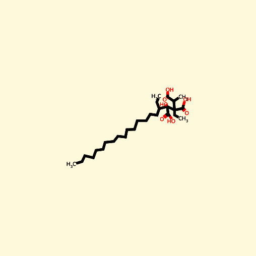 CCCCCCCCCCCCCCCCC(CC)C(O)(C(=O)O)C(CC)(C(=O)O)C(C)C(=O)O